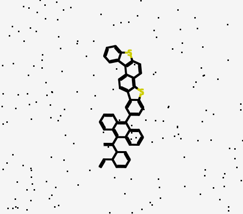 C=CC1C=CC=CC1C(=C)c1c2ccccc2c(-c2ccc3sc4c(ccc5c4ccc4sc6ccccc6c45)c3c2)c2ccccc12